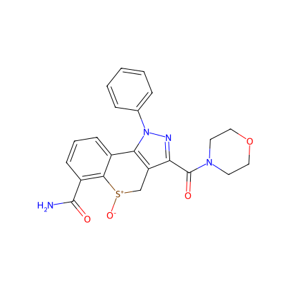 NC(=O)c1cccc2c1[S+]([O-])Cc1c(C(=O)N3CCOCC3)nn(-c3ccccc3)c1-2